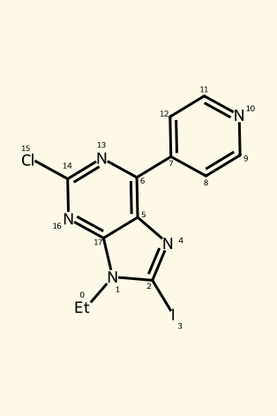 CCn1c(I)nc2c(-c3ccncc3)nc(Cl)nc21